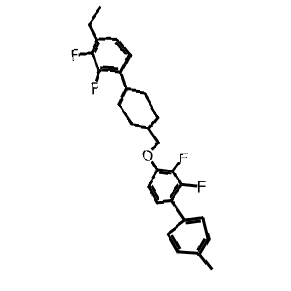 CCc1ccc(C2CCC(COc3ccc(-c4ccc(C)cc4)c(F)c3F)CC2)c(F)c1F